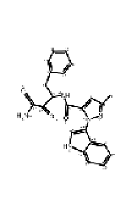 Cc1cc(C(=O)NC(Cc2ccccc2)C(=O)C(N)=O)n(-c2c[nH]c3ccccc23)n1